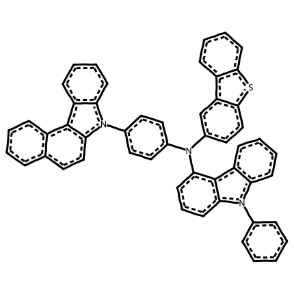 c1ccc(-n2c3ccccc3c3c(N(c4ccc(-n5c6ccccc6c6c7ccccc7ccc65)cc4)c4ccc5sc6ccccc6c5c4)cccc32)cc1